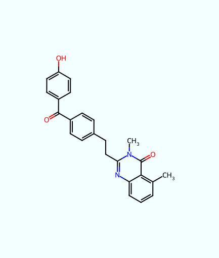 Cc1cccc2nc(CCc3ccc(C(=O)c4ccc(O)cc4)cc3)n(C)c(=O)c12